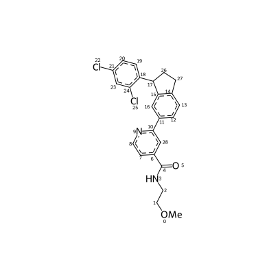 COCCNC(=O)c1ccnc(-c2ccc3c(c2)C(c2ccc(Cl)cc2Cl)CC3)c1